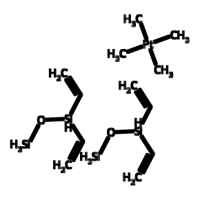 C=C[SiH](C=C)O[SiH3].C=C[SiH](C=C)O[SiH3].[CH3][Pt]([CH3])([CH3])[CH3]